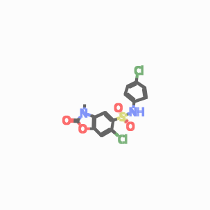 Cn1c(=O)oc2cc(Cl)c(S(=O)(=O)Nc3ccc(Cl)cc3)cc21